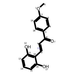 COc1ccc(C(=O)/C=C/c2c(O)cccc2O)cc1